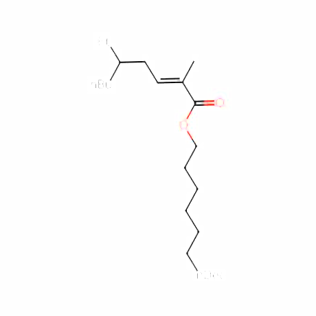 CCCCCCCCCCCCCCCCOC(=O)C(C)=CCC(CC)CCCC